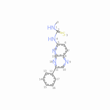 CNC(=S)Nc1ccc2ncc(-c3ccccc3)nc2n1